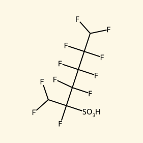 O=S(=O)(O)C(F)(C(F)F)C(F)(F)C(F)(F)C(F)(F)C(F)F